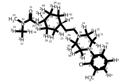 [2H]c1c([2H])c(C)c(Cl)c(N2C([2H])([2H])C([2H])([2H])N(CC[C@]3([2H])C([2H])([2H])C([2H])([2H])[C@@]([2H])(NC(=O)N(C)C([2H])([2H])[2H])C([2H])([2H])C3([2H])[2H])C([2H])([2H])C2([2H])[2H])c1[2H]